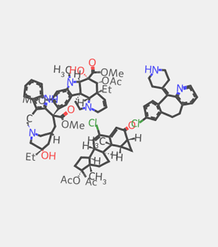 CC(=O)O[C@]1(C(C)=O)CC[C@H]2[C@@H]3C=C(Cl)C4=CC(=O)[C@@H]5C[C@@H]5[C@]4(C)[C@H]3CC[C@@]21C.CC[C@]1(O)C[C@@H]2C[N@@](CCc3c([nH]c4ccccc34)[C@@](C(=O)OC)(c3cc4c(cc3OC)N(C)[C@H]3[C@@](O)(C(=O)OC)[C@H](OC(C)=O)[C@]5(CC)C=CCN6CC[C@]43[C@@H]65)C2)C1.Clc1ccc2c(c1)CCc1cccnc1C2=C1CCNCC1